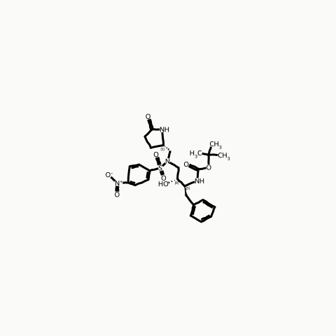 CC(C)(C)OC(=O)N[C@@H](Cc1ccccc1)[C@H](O)CN(C[C@@H]1CCC(=O)N1)S(=O)(=O)c1ccc([N+](=O)[O-])cc1